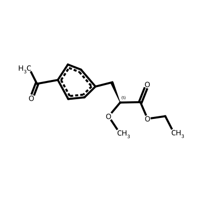 CCOC(=O)[C@H](Cc1ccc(C(C)=O)cc1)OC